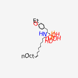 CCCCCCCC/C=C\CCCCCCCC(=O)N[C@H](CO[PH](O)(O)O)Cc1ccc(OCC)cc1